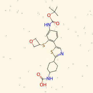 CC(C)(C)OC(=O)Nc1ccc(-c2cnc(C3CCC(NC(=O)O)CC3)s2)c(SC2COC2)c1